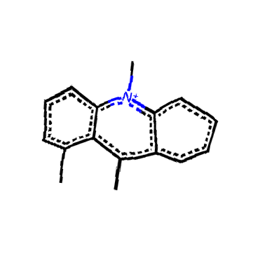 Cc1cccc2c1c(C)c1ccccc1[n+]2C